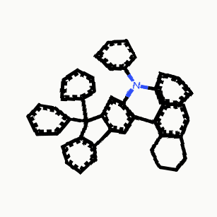 Cc1ccc2c(c1-c1cc3c(cc1N(c1ccccc1)c1ccccc1)C(c1ccccc1)(c1ccccc1)c1ccccc1-3)CCCC2